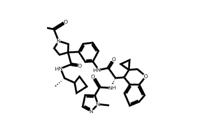 CC(=O)N1CCC(C(=O)N[C@@H](C)C2CCC2)(c2cccc(NC(=O)[C@@H](NC(=O)c3ccnn3C)C3c4ccccc4OCC34CC4)c2)C1